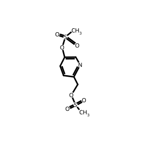 CS(=O)(=O)OCc1ccc(OS(C)(=O)=O)cn1